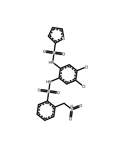 O=[SH](=O)Cc1ccccc1S(=O)(=O)Nc1cc(Cl)c(Cl)cc1NS(=O)(=O)c1cccs1